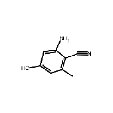 Cc1cc(O)cc(N)c1C#N